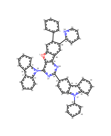 c1ccc(-c2cc3oc4c(-n5c6ccccc6c6ccccc65)nc(-c5ccc6c(c5)c5ccccc5n6-c5ccccc5)nc4c3cc2-c2ccccn2)cc1